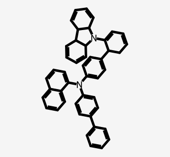 C1=CCC(c2ccc(N(c3ccc(-c4ccccc4)cc3)c3cccc4ccccc34)cc2)C(N2C3C=CC=CC3C3C=CC=CC32)=C1